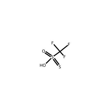 O=S(O)(=S)C(F)(F)F